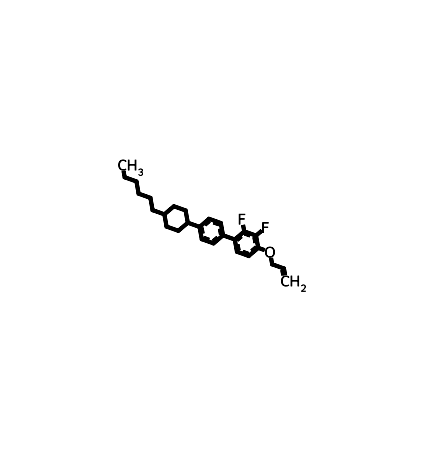 C=CCOc1ccc(-c2ccc(C3CCC(CCCCCC)CC3)cc2)c(F)c1F